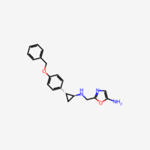 Nc1cnc(CN[C@H]2C[C@@H]2c2ccc(OCc3ccccc3)cc2)o1